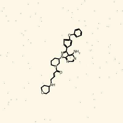 Nc1ncnc2c1c(-c1ccc(Oc3ccccc3)cc1)nn2[C@@H]1CCCN(C(=O)C=CCNC2CCOCC2)C1